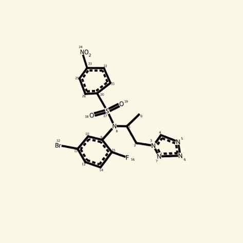 CC(Cn1cnnn1)N(c1cc(Br)ccc1F)S(=O)(=O)c1ccc([N+](=O)[O-])cc1